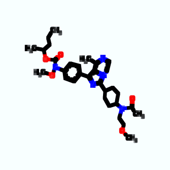 CCCC(C)OC(=O)N(OC)c1ccc(-c2nc(C3CCC(N(CCOC)C(C)=O)CC3)n3ccnc(C)c23)cc1